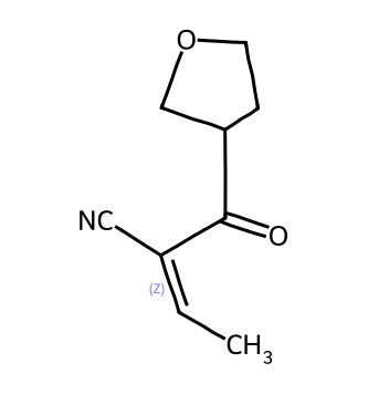 C/C=C(/C#N)C(=O)C1CCOC1